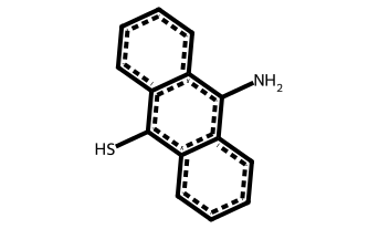 Nc1c2ccccc2c(S)c2ccccc12